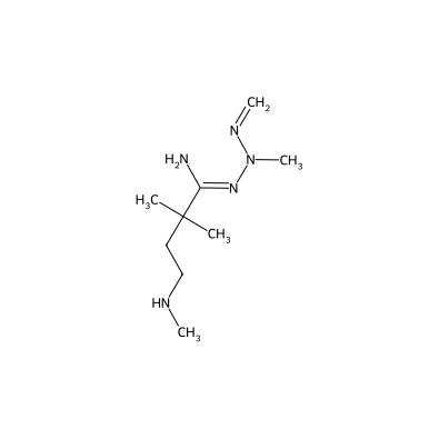 C=NN(C)/N=C(\N)C(C)(C)CCNC